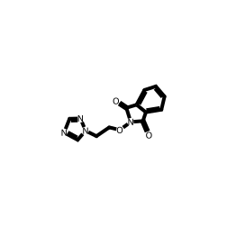 O=C1c2ccccc2C(=O)N1OCCn1cncn1